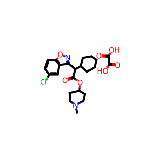 CN1CCC(OC(=O)C(c2noc3ccc(Cl)cc23)C2CCCCC2)CC1.O=C(O)C(=O)O